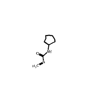 C=NC(=O)NC1CCCC1